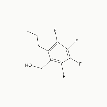 CCCc1c(F)c(F)c(F)c(F)c1CO